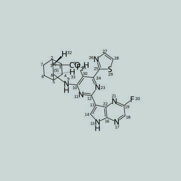 O=C(O)[C@H]1C2CCC(CC2)[C@@H]1Nc1nc(-c2c[nH]c3ncc(F)nc23)nc(-c2nccs2)c1F